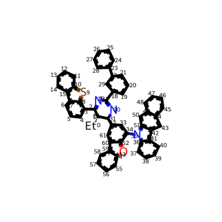 CC[C@@H]1C(c2cccc3c2sc2ccccc23)=NC(c2cccc(-c3ccccc3)c2)=NC1c1cc(-n2c3ccccc3c3cc4ccccc4cc32)c2oc3ccccc3c2c1